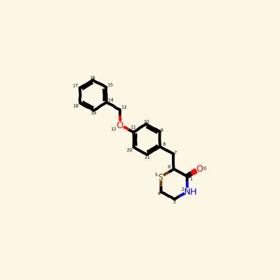 O=C1NCCSC1Cc1ccc(OCc2ccccc2)cc1